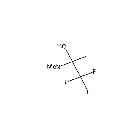 CNC(C)(O)C(F)(F)F